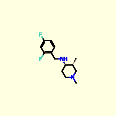 C[C@@H]1CN(C)CC[C@@H]1NCc1ccc(F)cc1F